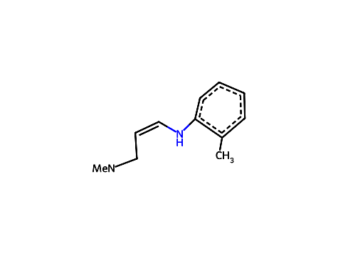 CNC/C=C\Nc1ccccc1C